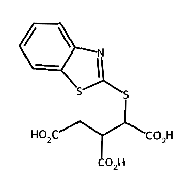 O=C(O)CC(C(=O)O)C(Sc1nc2ccccc2s1)C(=O)O